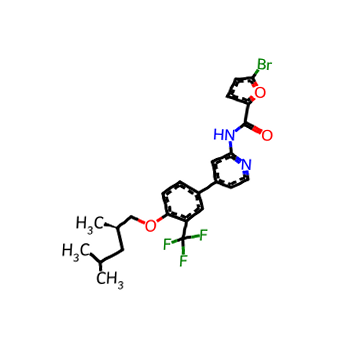 CC(C)C[C@@H](C)COc1ccc(-c2ccnc(NC(=O)c3ccc(Br)o3)c2)cc1C(F)(F)F